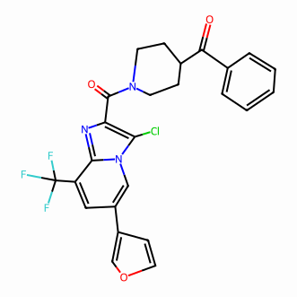 O=C(c1ccccc1)C1CCN(C(=O)c2nc3c(C(F)(F)F)cc(-c4ccoc4)cn3c2Cl)CC1